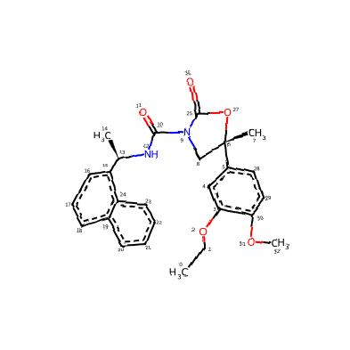 CCOc1cc([C@]2(C)CN(C(=O)N[C@H](C)c3cccc4ccccc34)C(=O)O2)ccc1OC